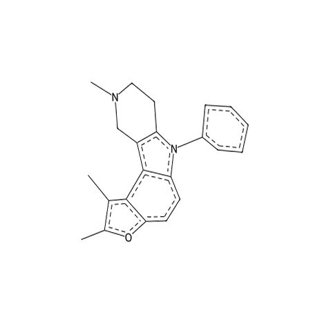 Cc1oc2ccc3c(c4c(n3-c3ccccc3)CCN(C)C4)c2c1C